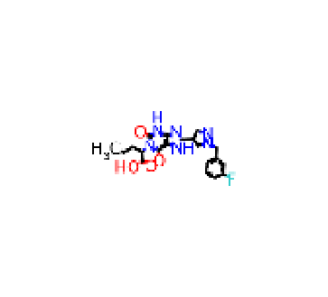 CCCC(C(=O)O)n1c(=O)[nH]c2nc(-c3cnn(Cc4cccc(F)c4)c3)[nH]c2c1=O